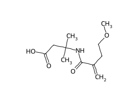 C=C(CCOC)C(=O)NC(C)(C)CC(=O)O